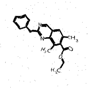 CCOC(=O)c1c(C)cc2cnc(Cc3ccccc3)nc2c1C